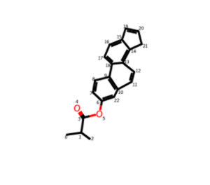 CC(C)C(=O)Oc1ccc2c(ccc3c4c(ccc32)C=CC4)c1